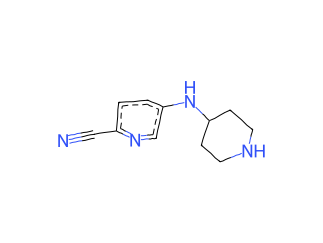 N#Cc1ccc(NC2CCNCC2)cn1